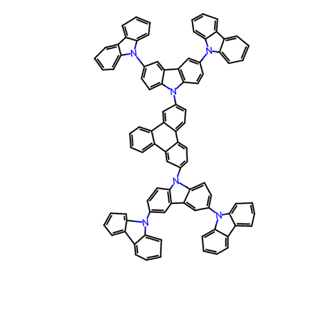 c1ccc2c(c1)c1cc(-n3c4ccc(-n5c6ccccc6c6ccccc65)cc4c4cc(-n5c6ccccc6c6ccccc65)ccc43)ccc1c1ccc(-n3c4ccc(-n5c6ccccc6c6ccccc65)cc4c4cc(-n5c6ccccc6c6ccccc65)ccc43)cc21